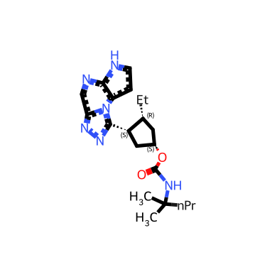 CCCC(C)(C)NC(=O)O[C@H]1C[C@@H](CC)[C@@H](c2nnc3cnc4[nH]ccc4n23)C1